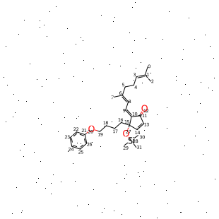 CC(C)=CCC/C(C)=C/C=C1\C(=O)C=CC1(CCCCOc1ccccc1)O[Si](C)(C)C